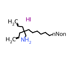 C=CCC(CN)(CC=C)CCCCCCCCCCCCCCC.I